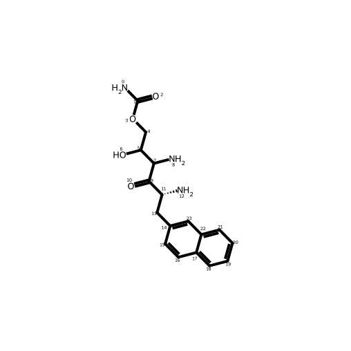 NC(=O)OCC(O)C(N)C(=O)[C@H](N)Cc1ccc2ccccc2c1